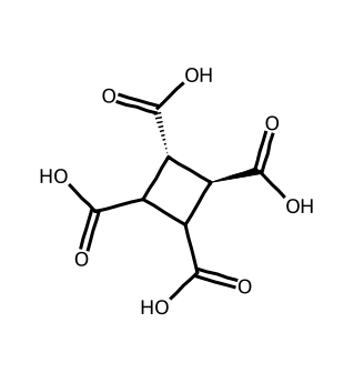 O=C(O)C1C(C(=O)O)[C@H](C(=O)O)[C@H]1C(=O)O